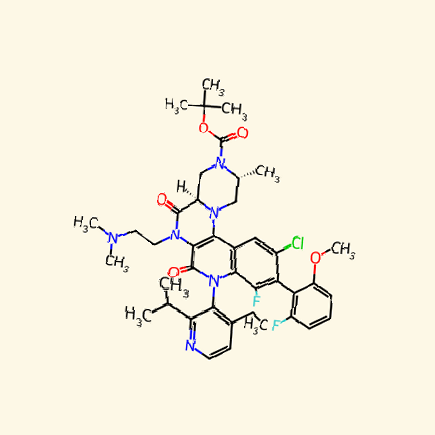 CCc1ccnc(C(C)C)c1-n1c(=O)c2c(c3cc(Cl)c(-c4c(F)cccc4OC)c(F)c31)N1C[C@@H](C)N(C(=O)OC(C)(C)C)C[C@@H]1C(=O)N2CCN(C)C